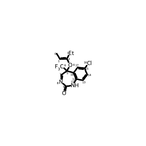 CC=C(CC)OC1(C(F)(F)F)C=NC(=O)Nc2ccc(Cl)cc21